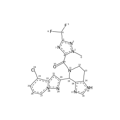 Cn1nc(C(F)F)nc1C(=O)N1CCc2[nH]cnc2C1c1cc2c(Cl)cccn2n1